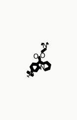 CN(C)CCOC(=O)c1c2cc[c]([Sn]([CH3])([CH3])[CH3])cc2n2ccccc12